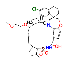 COCCO[C@H]1/C=C/C[C@@H](C)[C@H](C(C)C)S(=O)(=O)NC(O)c2ccc3c(c2)N(C[C@@H]2CC[C@H]21)C[C@@]1(CCCc2cc(Cl)ccc21)CO3